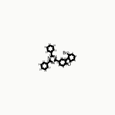 Brc1cccc2oc3ccc(-c4nc(-c5ccccc5)nc(-c5ccccc5)n4)cc3c12